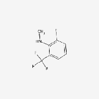 CNc1c(F)cccc1C(F)(F)F